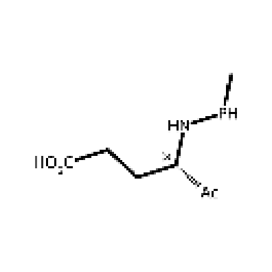 CPN[C@@H](CCC(=O)O)C(C)=O